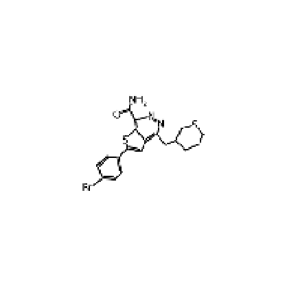 NC(=O)c1nnc(CC2CCCSC2)c2cc(-c3ccc(Br)cc3)sc12